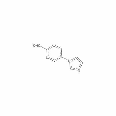 O=Cc1ccc(-n2ccnc2)cn1